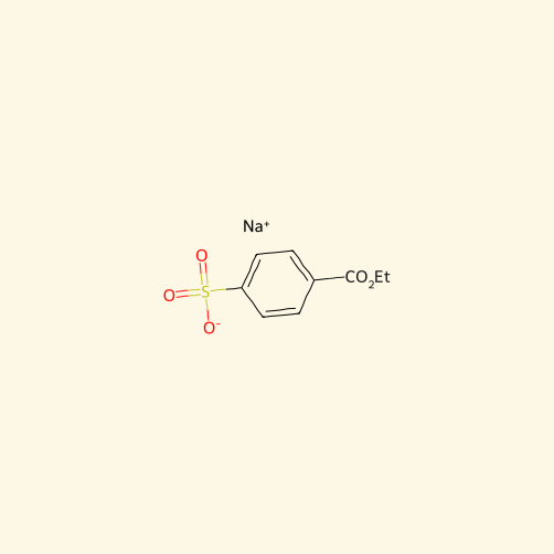 CCOC(=O)c1ccc(S(=O)(=O)[O-])cc1.[Na+]